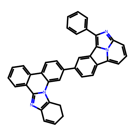 C1=Cc2nc3c4ccccc4c4ccc(-c5ccc6c(c5)c5c(-c7ccccc7)nc7cccc6n75)cc4n3c2CC1